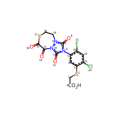 O=C(O)CSc1cc(-n2c(=O)n3n(c2=O)C(=O)C(=O)SCC3)c(F)cc1Cl